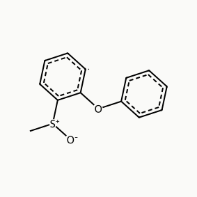 C[S+]([O-])c1ccc[c]c1Oc1ccccc1